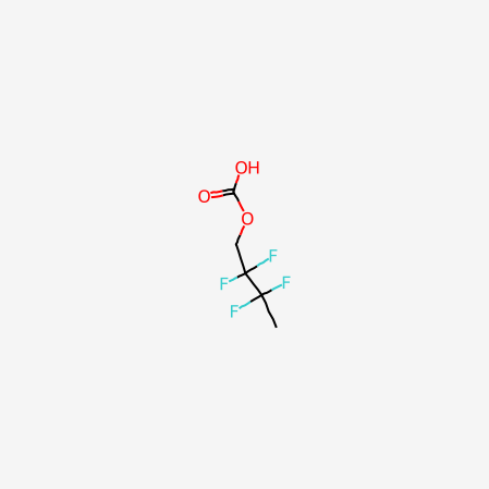 CC(F)(F)C(F)(F)COC(=O)O